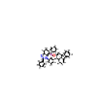 O=P1(c2ccccc2)c2c(C3=C4C=CC=C5c6ccccc6C(C=C3)C54)cccc2-n2c(-c3ccccc3)nc3cccc1c32